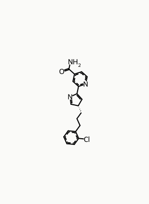 NC(=O)c1ccnc(C2=C[C@H](CCCc3ccccc3Cl)C=N2)c1